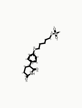 CS(=O)(=O)OCCCCCOc1ccc(C2CCC(=O)NC2=O)cc1